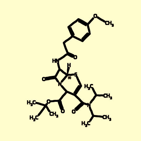 COc1ccc(CC(=O)NC2C(=O)N3C(C(=O)OC(C)(C)C)C(C(=O)N(C(C)C)C(C)C)=CS[C@@H]23)cc1